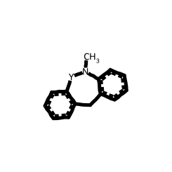 C[N]1[Y][c]2ccccc2Cc2ccccc21